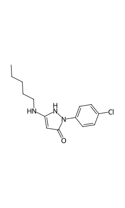 CCCCCNc1cc(=O)n(-c2ccc(Cl)cc2)[nH]1